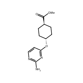 COC(=O)[C@H]1CC[C@H](Oc2ccnc(N)n2)CC1